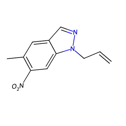 C=CCn1ncc2cc(C)c([N+](=O)[O-])cc21